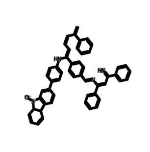 C=C(/C=C\C=C(/Nc1ccc(-c2ccc3c(c2)[S+]([O-])C2C=CC=CC32)cc1)c1ccc(/C=N/C(=C\C(=N)c2ccccc2)c2ccccc2)cc1)c1ccccc1